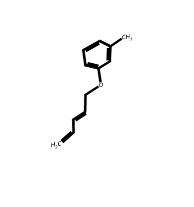 C=C/C=C/COc1cccc(C)c1